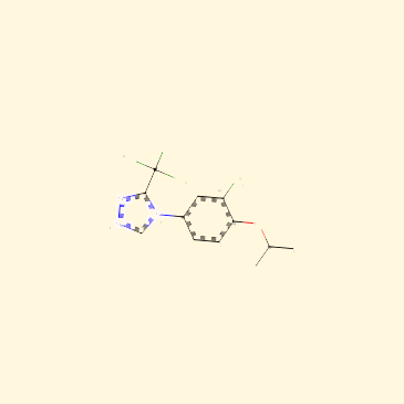 CC(C)Oc1ccc(-n2cnnc2C(F)(F)F)cc1Br